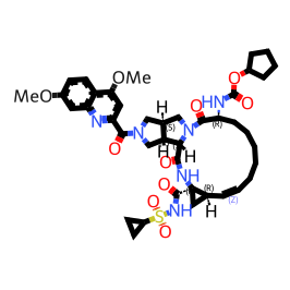 COc1ccc2c(OC)cc(C(=O)N3C[C@H]4CN5C(=O)[C@H](NC(=O)OC6CCCC6)CCCCC/C=C\[C@H]6C[C@@]6(C(=O)NS(=O)(=O)C6CC6)NC(=O)[C@@H]5[C@H]4C3)nc2c1